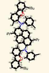 Cc1ccc(C)c(N(c2cc(C(C)C)c3ccc4c(N(c5cc(C)ccc5C)c5c(C)ccc6c5oc5c(C(C)(C)C)cccc56)cc(C(C)C)c5ccc2c3c54)c2c(C)ccc3c2oc2c(C(C)(C)C)cccc23)c1